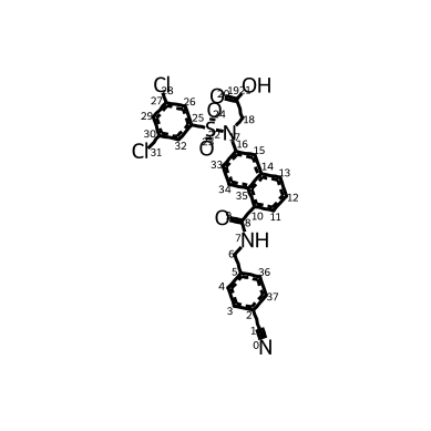 N#Cc1ccc(CNC(=O)c2cccc3cc(N(CC(=O)O)S(=O)(=O)c4cc(Cl)cc(Cl)c4)ccc23)cc1